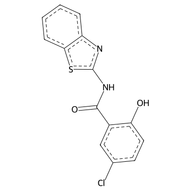 O=C(Nc1nc2ccccc2s1)c1cc(Cl)ccc1O